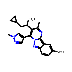 COc1ccc2nn3c(-c4cnn(C)c4)c(C(CC4CC4)C(=O)O)c(C)nc3c2c1